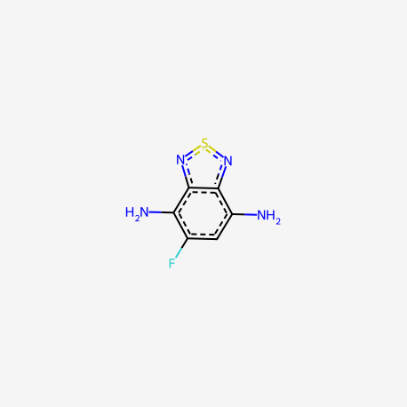 Nc1cc(F)c(N)c2nsnc12